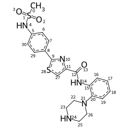 CS(=O)(=O)Nc1ccc(-c2nc(C(=O)Nc3ccccc3N3CCNCC3)cs2)cc1